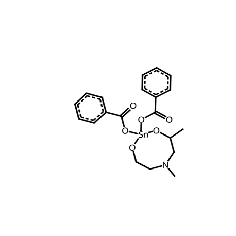 CC1CN(C)CC[O][Sn]([O]C(=O)c2ccccc2)([O]C(=O)c2ccccc2)[O]1